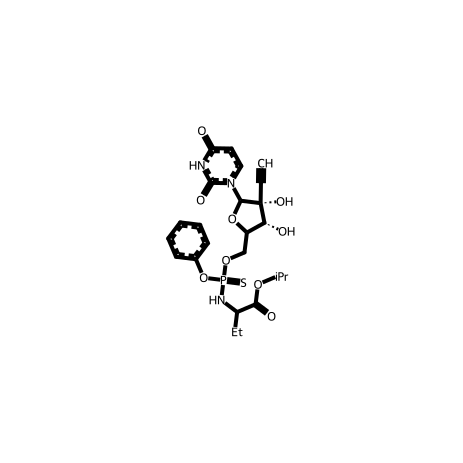 C#C[C@]1(O)C(n2ccc(=O)[nH]c2=O)OC(COP(=S)(NC(CC)C(=O)OC(C)C)Oc2ccccc2)[C@H]1O